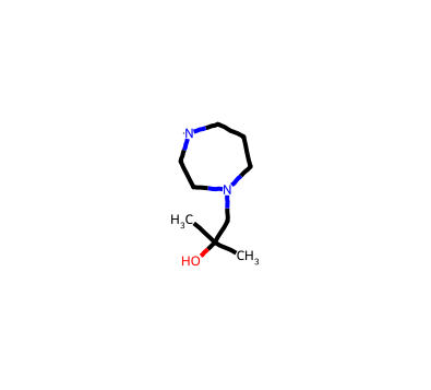 CC(C)(O)CN1CCC[N]CC1